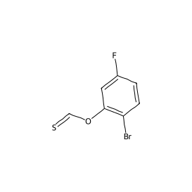 Fc1ccc(Br)c(OC=S)c1